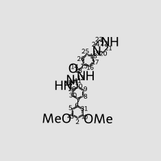 COc1cc(OC)cc(-c2ccc3c(NC(=O)c4ccc(N5CCNCC5)cc4)n[nH]c3c2)c1